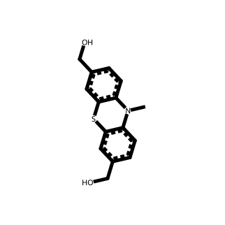 CN1c2ccc(CO)cc2Sc2cc(CO)ccc21